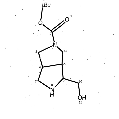 CC(C)(C)OC(=O)N1CC2CNC(CO)C2C1